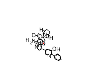 CC(=O)c1c([C@@H]2C[C@H]3CC[C@@H](C2)N3C(=O)CO)nc2c(-c3cnc(-c4ccccc4)c(O)c3)cnn2c1N